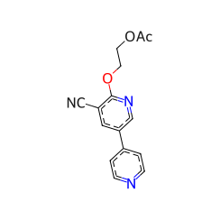 CC(=O)OCCOc1ncc(-c2ccncc2)cc1C#N